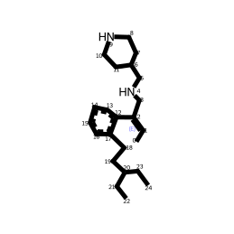 C/C=C(/CNCC1CCNCC1)c1ccccc1CCC(CC)CC